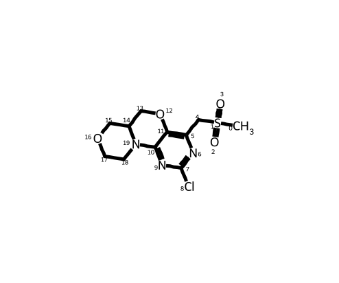 CS(=O)(=O)Cc1nc(Cl)nc2c1OCC1COCCN21